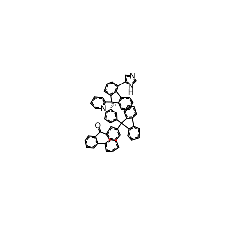 O=C(c1cccc(C2(c3cccc([C@@]4(c5ccccn5)c5ccccc5-c5c(-c6cnc[nH]6)cccc54)c3)c3ccccc3-c3ccccc32)c1)c1ccccc1-c1ccccc1